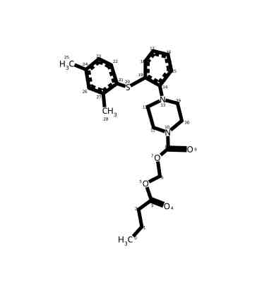 CCCC(=O)OCOC(=O)N1CCN(c2ccccc2Sc2ccc(C)cc2C)CC1